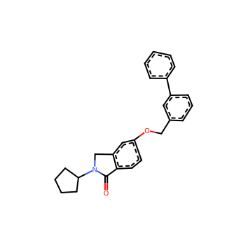 O=C1c2ccc(OCc3cccc(-c4ccccc4)c3)cc2CN1C1CCCC1